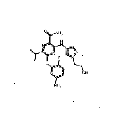 CC(C)c1nc(C(N)=O)c(Nc2cnn(CCO)c2)nc1Oc1cc(N)ccc1F